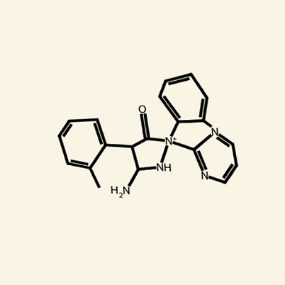 Cc1ccccc1C1C(=O)[N+](c2ncccn2)(c2ccccc2C)NC1N